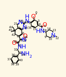 COc1cc(C(=O)NC2CCN(C)CC2)ccc1Nc1ncc2c(n1)-c1onc(C(=O)NC[C@@H](N)c3ccccc3)c1CC2(C)C